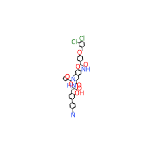 N#Cc1ccc(-c2ccc(C[C@H](NC(=O)C3Cc4cc5c(cc4CN3C(=O)c3ccco3)OC(c3ccc(OCc4ccc(Cl)c(Cl)c4)cc3)C(=O)N5)C(=O)O)cc2)cc1